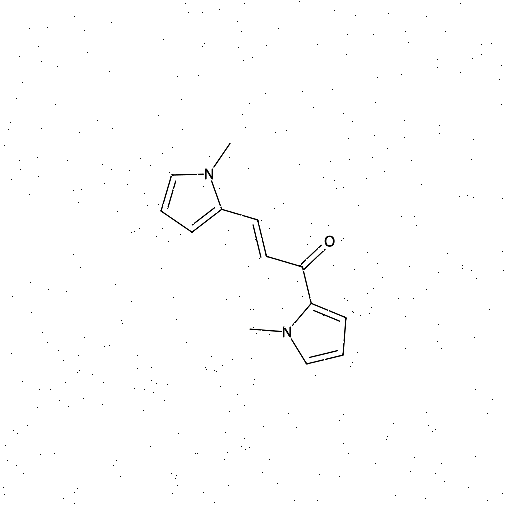 Cn1cccc1C=CC(=O)c1cccn1C